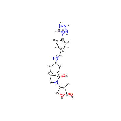 CC1=C(N2CCC3(CCC(NCc4ccc(-n5cnnn5)cc4)CC3)C2=O)COC1=O